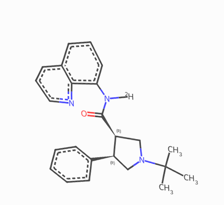 [2H]N(C(=O)[C@H]1CN(C(C)(C)C)C[C@H]1c1ccccc1)c1cccc2cccnc12